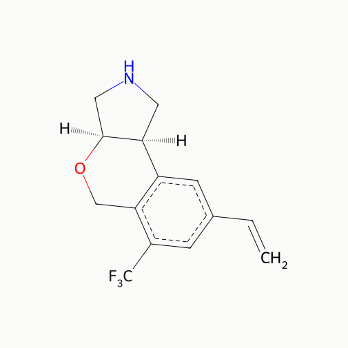 C=Cc1cc2c(c(C(F)(F)F)c1)CO[C@H]1CNC[C@@H]21